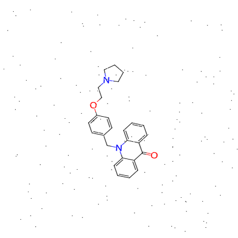 O=c1c2ccccc2n(Cc2ccc(OCCN3CCCC3)cc2)c2ccccc12